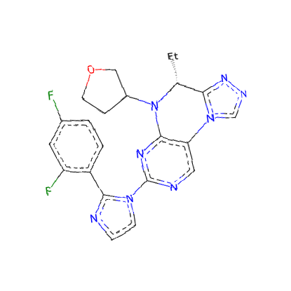 CC[C@@H]1c2nncn2-c2cnc(-n3ccnc3-c3ccc(F)cc3F)nc2N1C1CCOC1